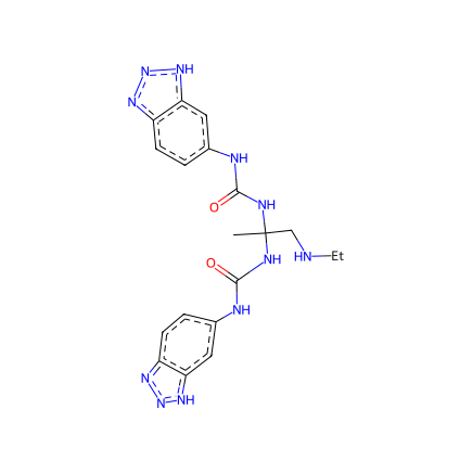 CCNCC(C)(NC(=O)Nc1ccc2nn[nH]c2c1)NC(=O)Nc1ccc2nn[nH]c2c1